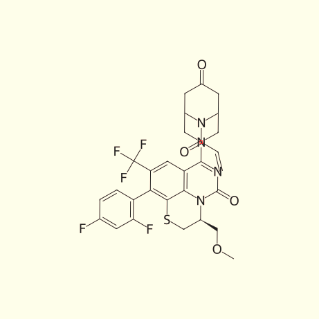 C=CC(=O)N1C2CC(=O)CC1CN(c1nc(=O)n3c4c(c(-c5ccc(F)cc5F)c(C(F)(F)F)cc14)SC[C@@H]3COC)C2